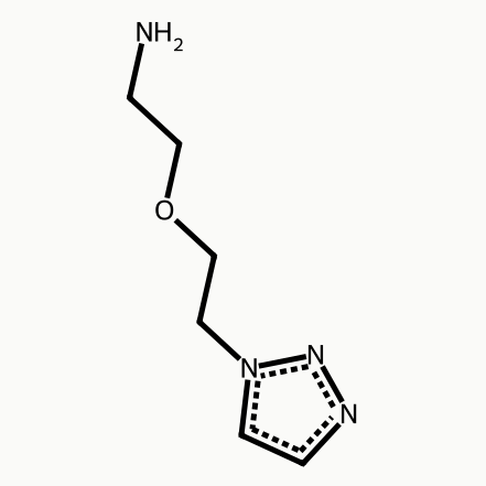 NCCOCCn1ccnn1